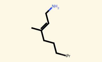 CC(=CCN)CCCC(C)C